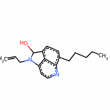 C=CCN1c2ccnc3c(CCCCC)ccc(c23)C1O